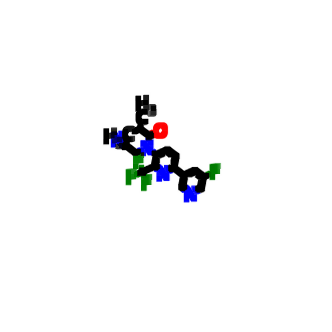 CC(C)C(=O)N(CC#N)c1ccc(-c2cncc(F)c2)nc1C(F)(F)F